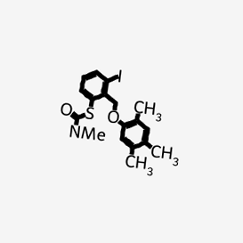 CNC(=O)Sc1cccc(I)c1COc1cc(C)c(C)cc1C